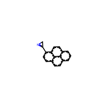 c1cc2ccc3ccc(C4=NC4)c4ccc(c1)c2c34